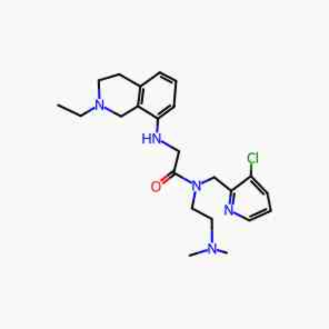 CCN1CCc2cccc(NCC(=O)N(CCN(C)C)Cc3ncccc3Cl)c2C1